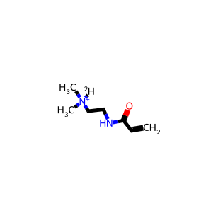 [2H][N+](C)(C)CCNC(=O)C=C